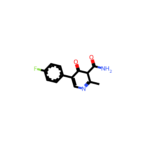 CC1=NC=C(c2ccc(F)cc2)C(=O)C1C(N)=O